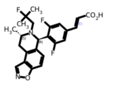 C[C@H]1Cc2c(ccc3oncc23)[C@H](c2c(F)cc(/C=C/C(=O)O)cc2F)N1CC(C)(C)F